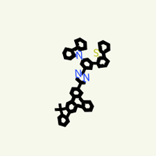 CC1(C)c2ccccc2-c2cc3c4ccccc4c4cc(-c5cnc(-c6cc(-c7cccc8c7sc7ccccc78)cc(-n7c8ccccc8c8ccccc87)c6)nc5)ccc4c3cc21